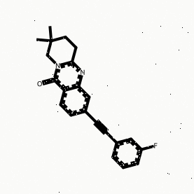 CC1(C)CCc2nc3cc(C#Cc4cccc(F)c4)ccc3c(=O)n2C1